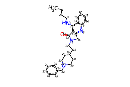 CCCCNc1c2c(nc3ccccc13)CN(CCC1CCN(Cc3ccccc3)CC1)C2=O